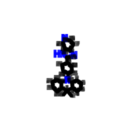 CC1(C)c2ccccc2N(c2ccc(-c3nc4ccncc4[nH]3)cc2)c2ccccc21